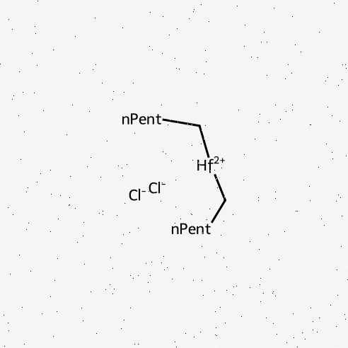 CCCCC[CH2][Hf+2][CH2]CCCCC.[Cl-].[Cl-]